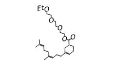 CCOCCOCCOCCOC(=O)C1CCC=C(CCC=C(C)CCC=C(C)C)C1